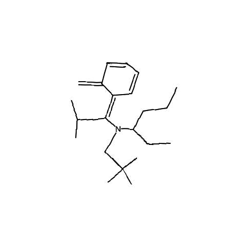 C=c1cccc/c1=C(/C(C)C)N(CC(C)(C)C)C(CC)CCC